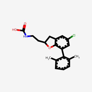 Cc1cccc(C)c1-c1cc(Cl)cc2c1OC(CCNC(=O)O)C2